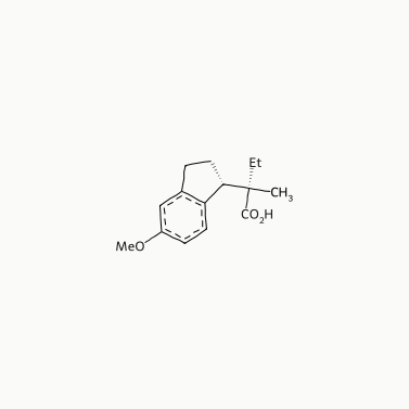 CC[C@](C)(C(=O)O)[C@H]1CCc2cc(OC)ccc21